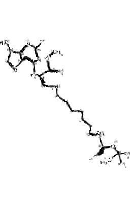 COC(=N)/C(=C\NCCCCCCCNC(=O)OC(C)(C)C)Nc1nc(F)nc2c1ncn2C